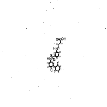 Cc1cccc(C)c1-c1nc(NS(=O)(=O)c2cccc(NCCCC(=O)O)n2)ccc1Cl